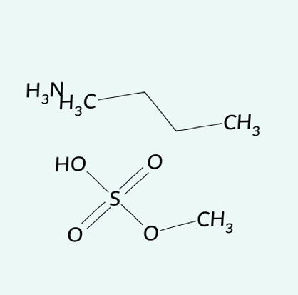 CCCC.COS(=O)(=O)O.N